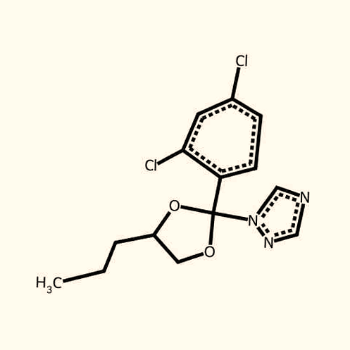 CCCC1COC(c2ccc(Cl)cc2Cl)(n2cncn2)O1